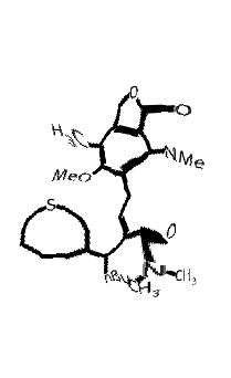 CCCCC(/C(=C/Cc1c(NC)c2c(c(C)c1OC)COC2=O)C(=O)N(C)C)C1CCCCSC1